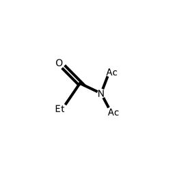 CCC(=O)N(C(C)=O)C(C)=O